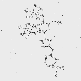 CCc1cc(-c2cn(Cc3cccc([N+](=O)[O-])c3)nn2)c(O[Si](C)(C)C(C)(C)C)cc1O[Si](C)(C)C(C)(C)C